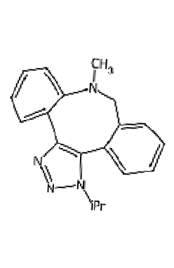 CC(C)n1nnc2c1-c1ccccc1CN(C)c1ccccc1-2